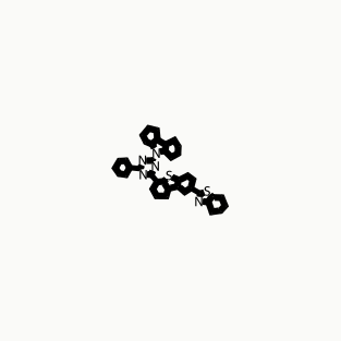 c1ccc(-c2nc(-c3cccc4c3sc3ccc(-c5nc6ccccc6s5)cc34)nc(-n3c4ccccc4c4ccccc43)n2)cc1